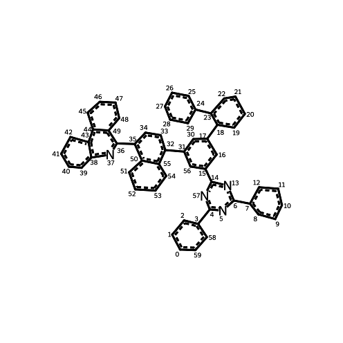 c1ccc(-c2nc(-c3ccccc3)nc(-c3cc(-c4ccccc4-c4ccccc4)cc(-c4ccc(-c5nc6ccccc6c6ccccc56)c5ccccc45)c3)n2)cc1